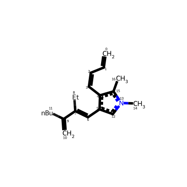 C=C/C=C\c1c(/C=C(\CC)C(=C)CCCC)cn(C)c1C